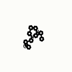 c1ccc(-c2cccc(N(c3cccc(-c4cccc5oc6ccccc6c45)c3)c3ccc4c5c(-c6ccccc6)cccc5n(-c5ccccc5)c4c3)c2)cc1